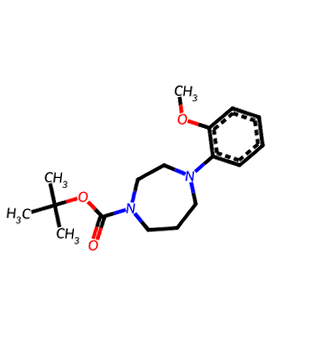 COc1ccccc1N1CCCN(C(=O)OC(C)(C)C)CC1